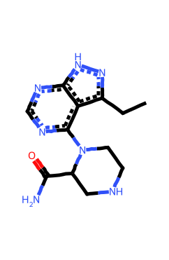 CCc1n[nH]c2ncnc(N3CCNCC3C(N)=O)c12